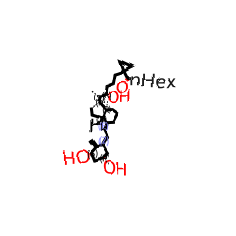 C=C1/C(=C\C=C2/CCC[C@]3(C)[C@@H]([C@H](C)[C@H](O)CCCC4(C(=O)CCCCCC)CC4)CC[C@@H]23)C[C@@H](O)C[C@@H]1O